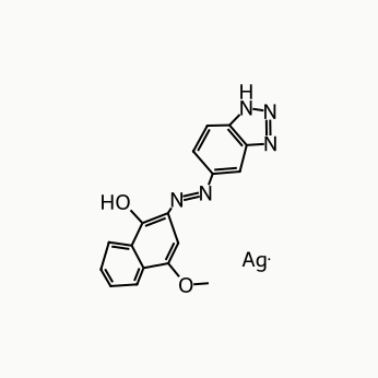 COc1cc(/N=N/c2ccc3[nH]nnc3c2)c(O)c2ccccc12.[Ag]